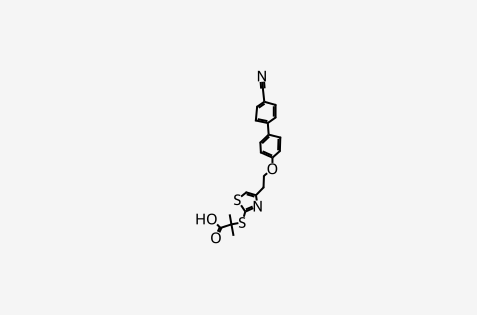 CC(C)(Sc1nc(CCOc2ccc(-c3ccc(C#N)cc3)cc2)cs1)C(=O)O